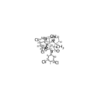 CC12C(=O)N(c3cc(Cl)cc(Cl)c3)C(=O)C1(C)C1(c3cc(Cl)cc(Cl)c3NC1O)N1CCCC12